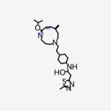 C=C1/C=C\C(OC(C)C)=N/CCCN(CCC2CCC(NC(O)Cc3nnc(C)s3)CC2)CC1